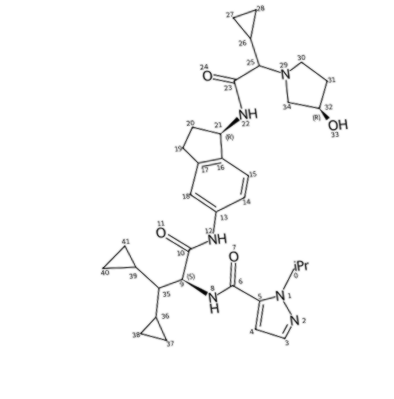 CC(C)n1nccc1C(=O)N[C@H](C(=O)Nc1ccc2c(c1)CC[C@H]2NC(=O)C(C1CC1)N1CC[C@@H](O)C1)C(C1CC1)C1CC1